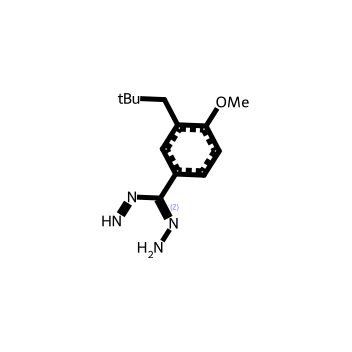 COc1ccc(/C(N=N)=N/N)cc1CC(C)(C)C